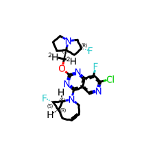 [2H]C([2H])(Oc1nc(N2CC=CC[C@H]3[C@H](F)[C@H]32)c2cnc(Cl)c(F)c2n1)[C@@]12CCCN1C[C@H](F)C2